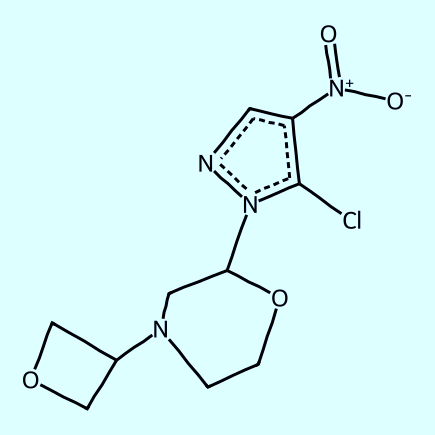 O=[N+]([O-])c1cnn(C2CN(C3COC3)CCO2)c1Cl